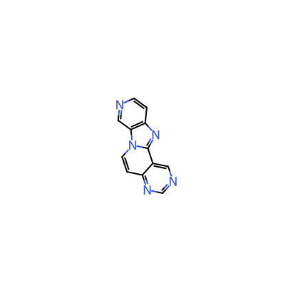 c1cc2nc3c4cncnc4ccn3c2cn1